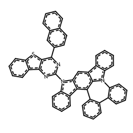 c1ccc2c(c1)-c1ccccc1-n1c3ccccc3c3cc4c(c-2c31)c1ccccc1n4-c1nc(-c2ccc3ccccc3c2)c2sc3ccccc3c2n1